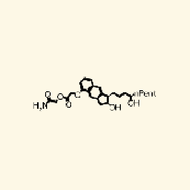 CCCCC[C@@H](O)CCC[C@@H]1C2Cc3cccc(OCC(=O)OCC(N)=O)c3CC2C[C@H]1O